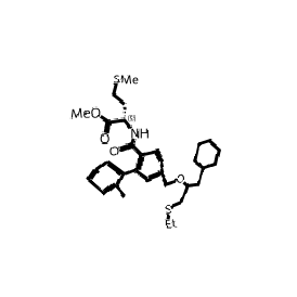 CCSCC(CC1CCCCC1)OCc1ccc(C(=O)N[C@@H](CCSC)C(=O)OC)c(-c2ccccc2C)c1